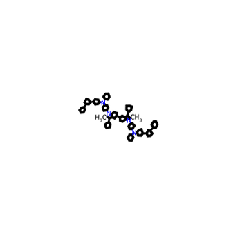 Cc1c(-c2ccccc2)c2cc(-c3ccc4c(c3)c(-c3ccccc3)c(C)n4-c3ccc(N(c4ccccc4)c4ccc(-c5cccc(-c6ccccc6)c5)cc4)cc3)ccc2n1-c1ccc(N(c2ccccc2)c2ccc(-c3cccc(-c4ccccc4)c3)cc2)cc1